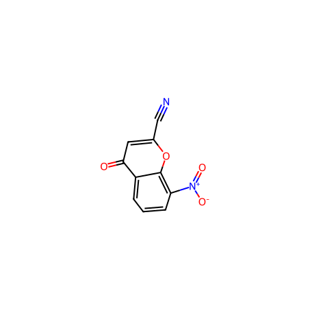 N#Cc1cc(=O)c2cccc([N+](=O)[O-])c2o1